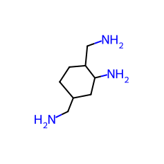 NCC1CCC(CN)C(N)C1